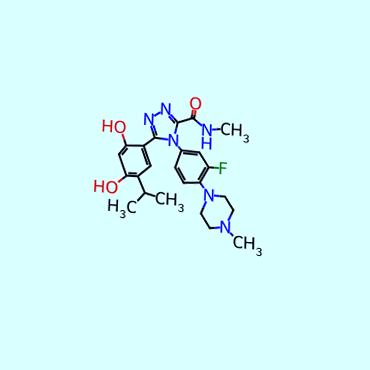 CNC(=O)c1nnc(-c2cc(C(C)C)c(O)cc2O)n1-c1ccc(N2CCN(C)CC2)c(F)c1